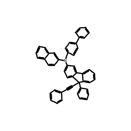 C(#CC1(c2ccccc2)c2ccccc2-c2cc(N(c3ccc(-c4ccccc4)cc3)c3ccc4ccccc4c3)ccc21)c1ccccc1